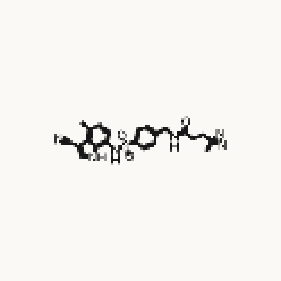 Cc1ccc(NS(=O)(=O)c2ccc(CNC(=O)CCC3(C)N=N3)cc2)c2[nH]cc(C#N)c12